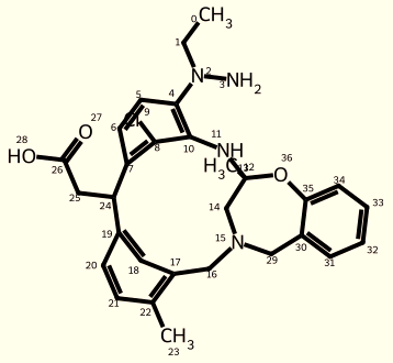 CCN(N)c1ccc2c(Cl)c1NC1(C)CN(Cc3cc(ccc3C)C2CC(=O)O)Cc2ccccc2O1